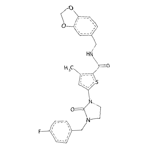 Cc1cc(N2CCN(Cc3ccc(F)cc3)C2=O)sc1C(=O)NCc1ccc2c(c1)OCO2